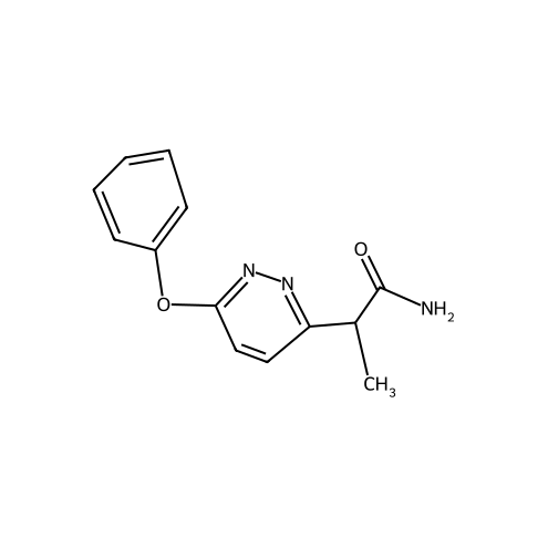 CC(C(N)=O)c1ccc(Oc2ccccc2)nn1